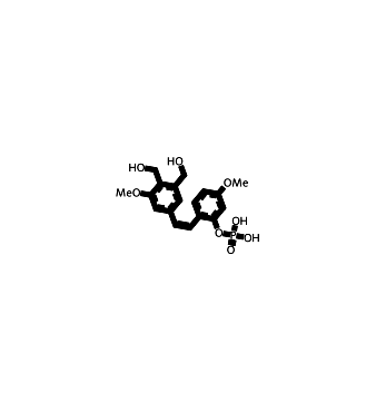 COc1ccc(/C=C\c2cc(CO)c(CO)c(OC)c2)c(OP(=O)(O)O)c1